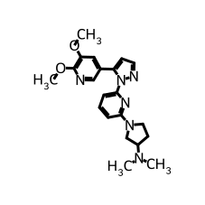 COc1cc(-c2ccnn2-c2cccc(N3CCC(N(C)C)C3)n2)cnc1OC